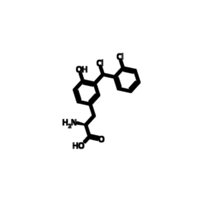 N[C@@H](Cc1ccc(O)c(C(Cl)c2ccccc2Cl)c1)C(=O)O